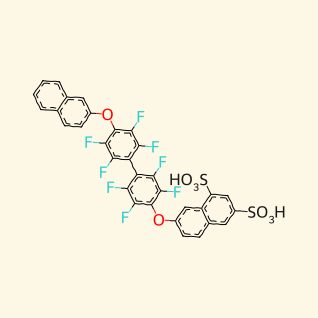 O=S(=O)(O)c1cc(S(=O)(=O)O)c2cc(Oc3c(F)c(F)c(-c4c(F)c(F)c(Oc5ccc6ccccc6c5)c(F)c4F)c(F)c3F)ccc2c1